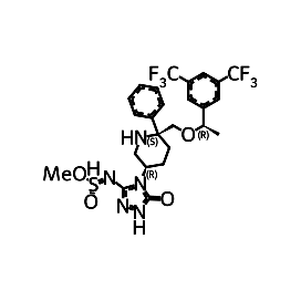 CO[SH](=O)=Nc1n[nH]c(=O)n1[C@@H]1CC[C@@](CO[C@H](C)c2cc(C(F)(F)F)cc(C(F)(F)F)c2)(c2ccccc2)NC1